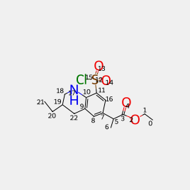 CCOC(=O)C(C)c1cc2c(c(S(=O)(=O)Cl)c1)NCC(CC)C2